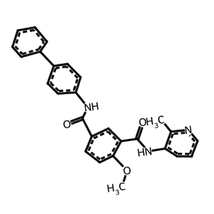 COc1ccc(C(=O)Nc2ccc(-c3ccccc3)cc2)cc1C(=O)Nc1cccnc1C